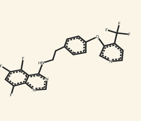 Fc1cc(F)c2ncnc(NCCc3ccc(Oc4cnccc4C(F)(F)F)cc3)c2c1F